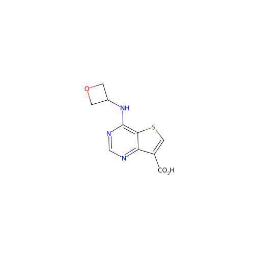 O=C(O)c1csc2c(NC3COC3)ncnc12